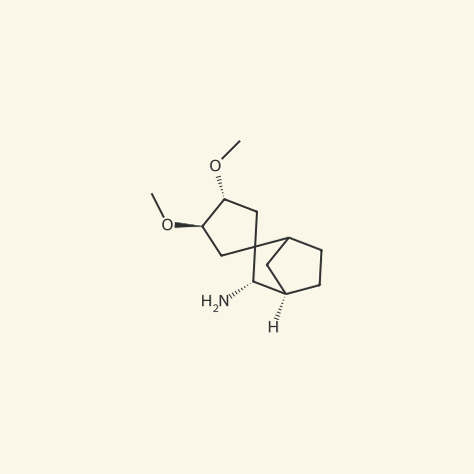 CO[C@@H]1CC2(C[C@H]1OC)C1CC[C@H](C1)[C@@H]2N